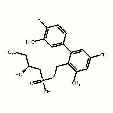 Cc1cc(C)c(COP(C)(=O)C[C@@H](O)CC(=O)O)c(-c2ccc(F)c(C)c2)c1